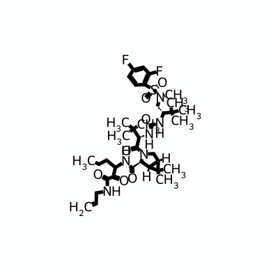 C=CCNC(=O)C(=O)C(CCC)NC(=O)[C@@H]1[C@@H]2[C@H](CN1C(=O)[C@@H](NC(=O)N[C@H](CN(C)S(=O)(=O)c1ccc(F)cc1F)C(C)(C)C)C(C)(C)C)C2(C)C